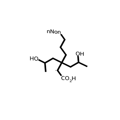 CCCCCCCCCCCCC([CH]C(=O)O)(CC(C)O)CC(C)O